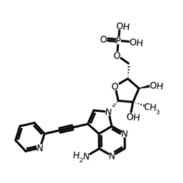 C[C@@]1(O)[C@H](O)[C@@H](COP(=O)(O)O)O[C@H]1n1cc(C#Cc2ccccn2)c2c(N)ncnc21